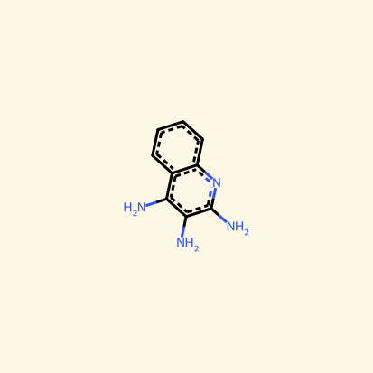 Nc1nc2ccccc2c(N)c1N